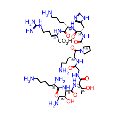 C[C@H](O)[C@H](NC(=O)[C@@H](NC(=O)[C@@H](N)CCCCN)[C@@H](O)CN)C(=O)NCC(=O)N[C@H](CCCN)C(=O)N1CCC[C@H]1C(=O)N[C@@H](Cc1cnc[nH]1)C(=O)N[C@@H](CCCCN)C(=O)N/C(=C\CCNC(=N)N)C(=O)O